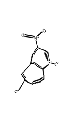 O=[N+]([O-])c1cc2cc(Cl)ccc2[n+]([O-])c1